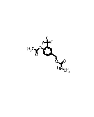 CNC(=O)OCc1ccc(OC(C)=O)c(C(F)(F)F)c1